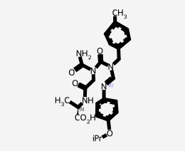 Cc1ccc(CN(/C=N/c2ccc(OC(C)C)cc2)C(=O)N(CC(=O)N[C@@H](C)C(=O)O)C(N)=O)cc1